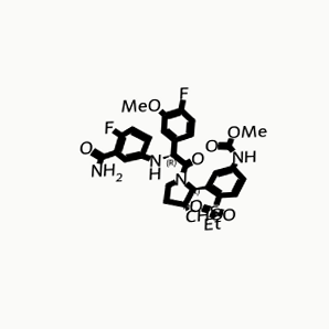 CCS(=O)(=O)c1ccc(NC(=O)OC)cc1[C@H]1[C@@H](C=O)CCN1C(=O)[C@H](Nc1ccc(F)c(C(N)=O)c1)c1ccc(F)c(OC)c1